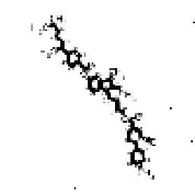 C#CC/C=C(\C=C/Cc1ccc(C)cc1)C(=O)OC/C=C/C=C1\C(=C/C)C(C)c2cc(OC(=O)c3ccc(/C(C)=C/CC=C(C)C)cc3)ccc21